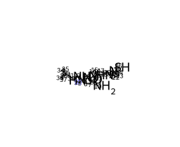 N=C(/C=C\Nc1ccc(C(N)=O)c(N2CCC(CCCNc3cccc(S)n3)C2)n1)CCC1C2(CC2)C12CC2